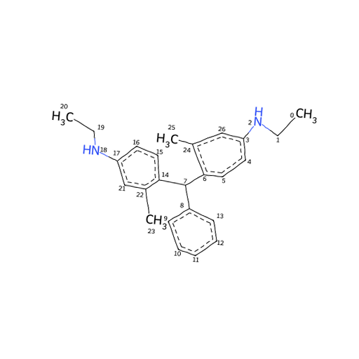 CCNc1ccc(C(c2ccccc2)c2ccc(NCC)cc2C)c(C)c1